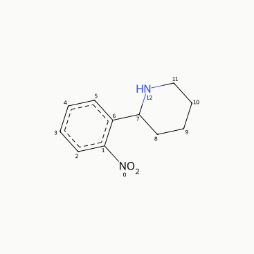 O=[N+]([O-])c1ccccc1C1CCCCN1